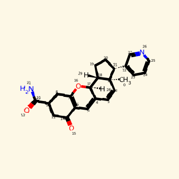 C[C@]12C=CC3=CC4=C(CC(C(N)=O)CC4=O)O[C@H]3[C@@H]1CC[C@@H]2c1cccnc1